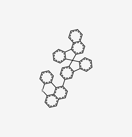 c1ccc2c(c1)Sc1cccc3ccc(-c4ccc5c(c4)-c4ccccc4C54c5ccccc5-c5c4ccc4ccccc54)c-2c13